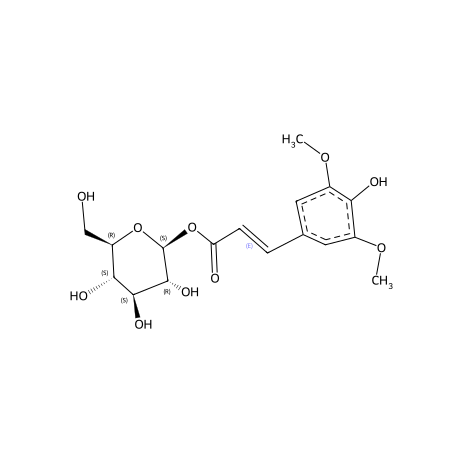 COc1cc(/C=C/C(=O)O[C@@H]2O[C@H](CO)[C@@H](O)[C@H](O)[C@H]2O)cc(OC)c1O